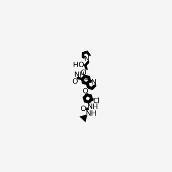 NC(=O)c1cc2c(Oc3ccc(NC(=O)NC4CC4)c(Cl)c3)ccnc2cc1OC[C@@H](O)CN1CCCC1